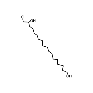 OCCCCCCCCCCCCCCCCC(O)CCl